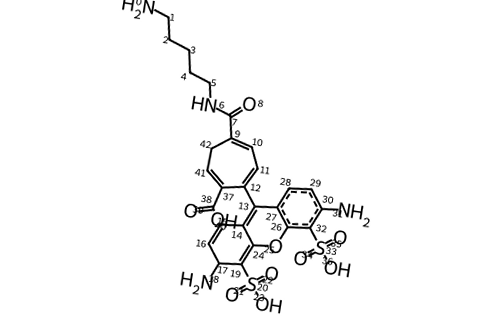 NCCCCCNC(=O)C1=CC=C(C2=C3C=CC(N)C(S(=O)(=O)O)=C3Oc3c2ccc(N)c3S(=O)(=O)O)C(C(=O)O)=CC1